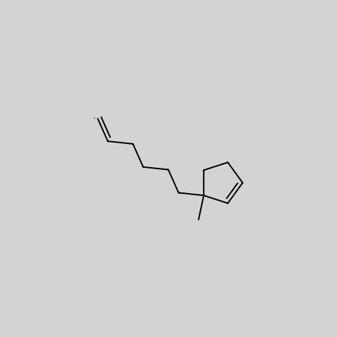 [CH]=CCCCCC1(C)C=CCC1